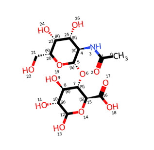 CC(=O)N[C@H]1[C@H](O[C@H]2[C@H](O)[C@@H](O)C(O)O[C@@H]2C(=O)O)O[C@H](CO)[C@H](O)[C@@H]1O